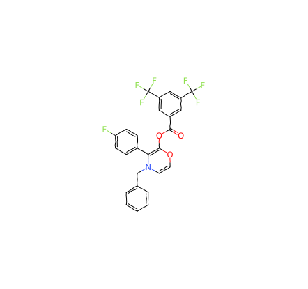 O=C(OC1=C(c2ccc(F)cc2)N(Cc2ccccc2)C=CO1)c1cc(C(F)(F)F)cc(C(F)(F)F)c1